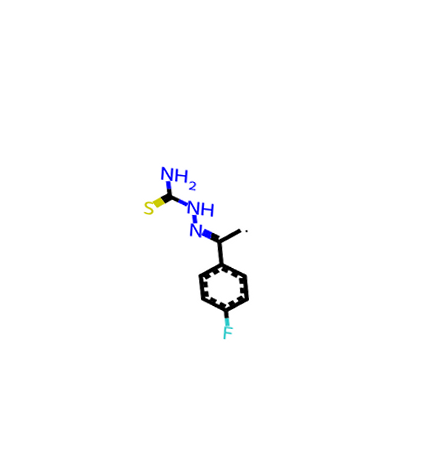 [CH2]C(=NNC(N)=S)c1ccc(F)cc1